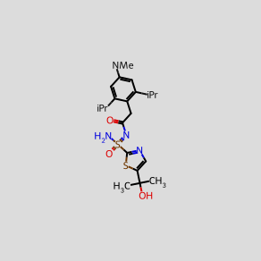 CNc1cc(C(C)C)c(CC(=O)N=S(N)(=O)c2ncc(C(C)(C)O)s2)c(C(C)C)c1